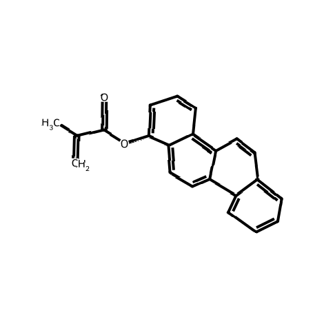 C=C(C)C(=O)Oc1cccc2c1ccc1c3ccccc3ccc21